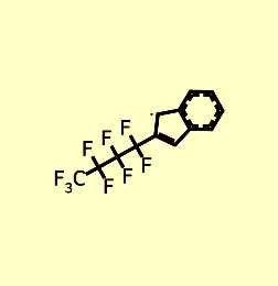 FC(F)(F)C(F)(F)C(F)(F)C(F)(F)C1=Cc2ccccc2[CH]1